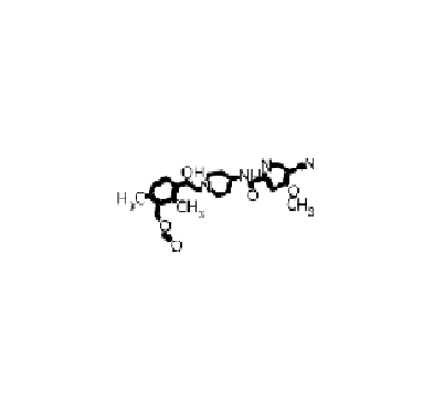 COc1cc(C(=O)NC2CCN(C[C@H](O)c3ccc(C)c(COC=O)c3C)CC2)ncc1C#N